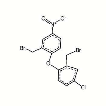 O=[N+]([O-])c1ccc(Oc2ccc(Cl)cc2CBr)c(CBr)c1